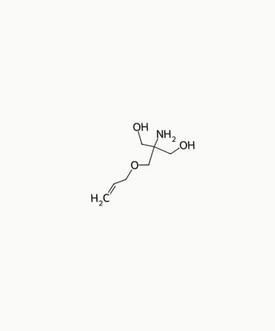 C=CCOCC(N)(CO)CO